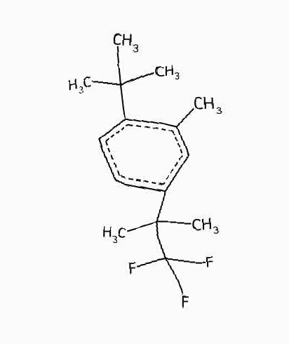 Cc1cc(C(C)(C)C(F)(F)F)ccc1C(C)(C)C